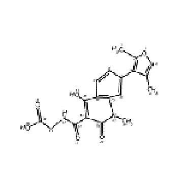 Cc1noc(C)c1-c1ccc2c(O)c(C(=O)NCC(=O)O)c(=O)n(C)c2c1